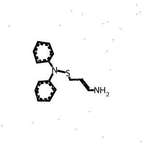 NC=CCSN(c1ccccc1)c1ccccc1